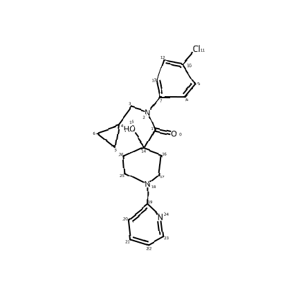 O=C(N(CC1CC1)c1ccc(Cl)cc1)C1(O)CCN(c2ccccn2)CC1